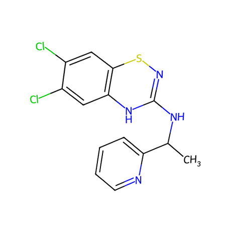 CC(NC1=NSc2cc(Cl)c(Cl)cc2N1)c1ccccn1